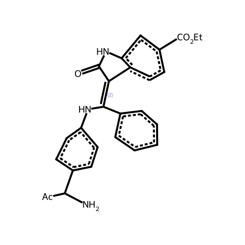 CCOC(=O)c1ccc2c(c1)NC(=O)/C2=C(\Nc1ccc(C(N)C(C)=O)cc1)c1ccccc1